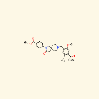 CCOc1cc(C(=O)OC)c(C2CC2)cc1CN1CCC2(CC1)CC(=O)N(c1ccc(C(=O)OC(C)(C)C)cc1)C2